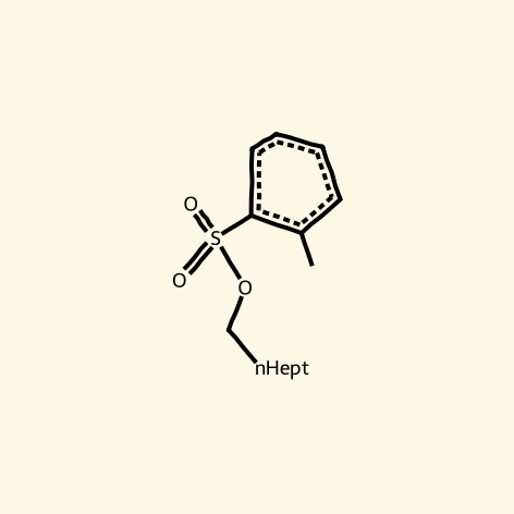 CCCCCCCCOS(=O)(=O)c1ccccc1C